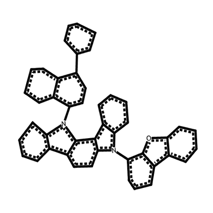 c1ccc(-c2ccc(-n3c4ccccc4c4ccc5c(c6ccccc6n5-c5cccc6c5oc5ccccc56)c43)c3ccccc23)cc1